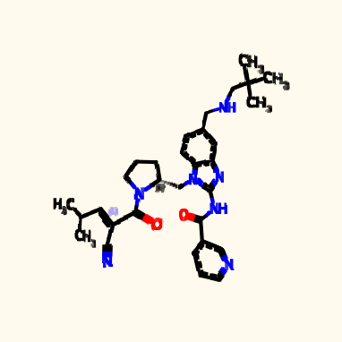 CC(C)/C=C(\C#N)C(=O)N1CCC[C@@H]1Cn1c(NC(=O)c2cccnc2)nc2cc(CNCC(C)(C)C)ccc21